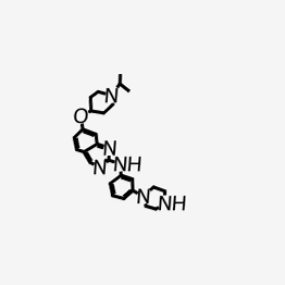 CC(C)N1CCC(Oc2ccc3cnc(Nc4cccc(N5CCNCC5)c4)nc3c2)CC1